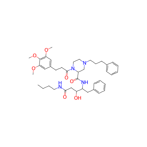 CCCCNC(=O)CC(O)C(Cc1ccccc1)NC(=O)C1CN(CCCc2ccccc2)CCN1C(=O)CCc1cc(OC)c(OC)c(OC)c1